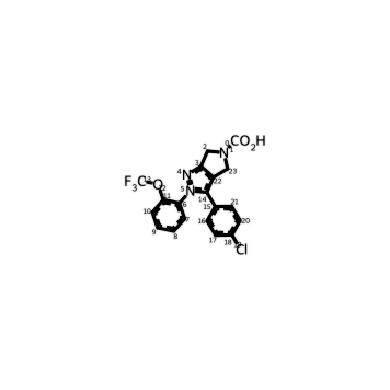 O=C(O)N1Cc2nn(-c3ccccc3OC(F)(F)F)c(-c3ccc(Cl)cc3)c2C1